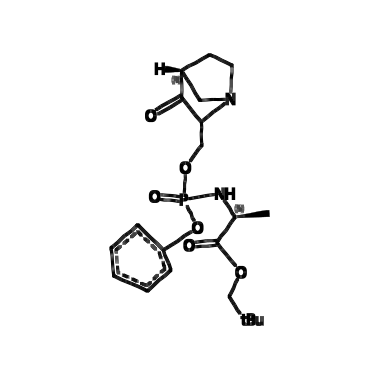 C[C@H](NP(=O)(OCC1C(=O)[C@@H]2CCN1C2)Oc1ccccc1)C(=O)OCC(C)(C)C